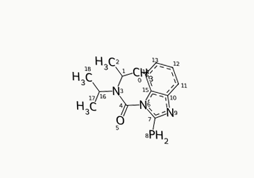 CC(C)N(C(=O)n1c(P)nc2ccccc21)C(C)C